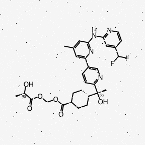 Cc1cc(Nc2cc(C(F)F)ccn2)nc(-c2ccc([C@](C)(O)[C@H]3CC[C@H](C(=O)OCOC(=O)[C@@H](C)O)CC3)nc2)c1